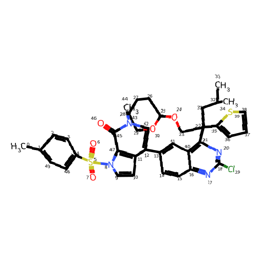 Cc1ccc(S(=O)(=O)n2ccc3c(-c4ccc5nc(Cl)nc(C(COC6CCCCO6)(CC(C)C)c6cccs6)c5c4)cn(C)c(=O)c32)cc1